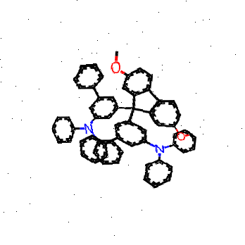 COc1ccc2c(c1)C(c1cc(-c3ccccc3)cc(N(c3ccccc3)c3ccccc3)c1)(c1cc(-c3ccccc3)cc(N(c3ccccc3)c3ccccc3)c1)c1cc(OC)ccc1-2